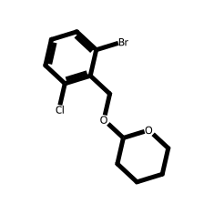 Clc1cccc(Br)c1COC1CCCCO1